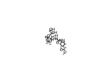 COC(=O)Cc1ccc(NC(=O)NCC[C@H]2[C@H]3OC(C)(C)O[C@H]3O[C@@H]2[C@H](O)CO)cc1